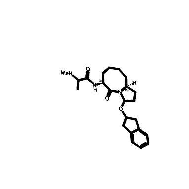 CNC(C)C(=O)N[C@H]1CCCC[C@H]2CCC(OC3Cc4ccccc4C3)N2C1=O